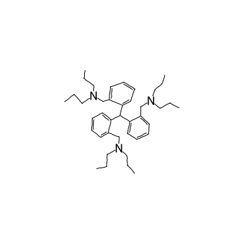 CCCN(CCC)Cc1ccccc1C(c1ccccc1CN(CCC)CCC)c1ccccc1CN(CCC)CCC